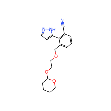 N#Cc1cccc(COCCOC2CCCCO2)c1-c1ccn[nH]1